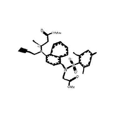 C#CCN(c1ccc(N(CC(=O)OC)S(=O)(=O)c2c(C)cc(C)cc2C)c2ccccc12)[C@@H](C)CC(=O)OC